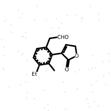 CCc1ccc(CC=O)c(C2=CCOC2=O)c1C